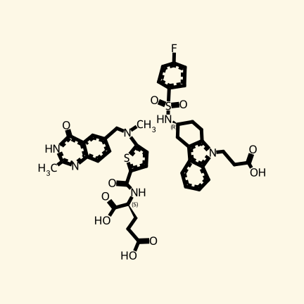 Cc1nc2ccc(CN(C)c3ccc(C(=O)N[C@@H](CCC(=O)O)C(=O)O)s3)cc2c(=O)[nH]1.O=C(O)CCn1c2c(c3ccccc31)C[C@H](NS(=O)(=O)c1ccc(F)cc1)CC2